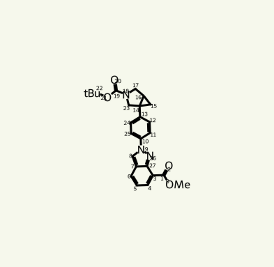 COC(=O)c1cccc2cn(-c3ccc(C45CC4CN(C(=O)OC(C)(C)C)C5)cc3)nc12